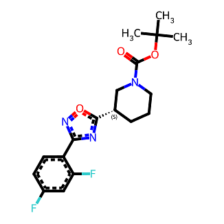 CC(C)(C)OC(=O)N1CCC[C@H](c2nc(-c3ccc(F)cc3F)no2)C1